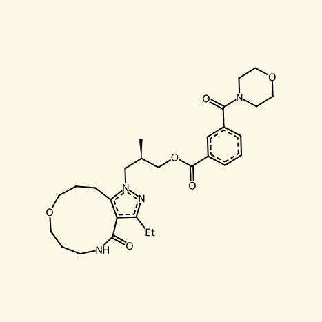 CCc1nn(C[C@@H](C)COC(=O)c2cccc(C(=O)N3CCOCC3)c2)c2c1C(=O)NCCCOCCC2